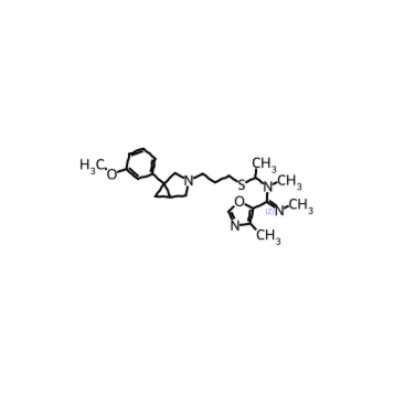 C/N=C(/c1ocnc1C)N(C)C(C)SCCCN1CC2CC2(c2cccc(OC)c2)C1